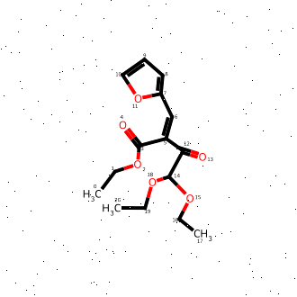 CCOC(=O)C(=Cc1ccco1)C(=O)C(OCC)OCC